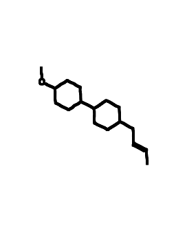 C/C=C/CC1CCC(C2CCC(OC)CC2)CC1